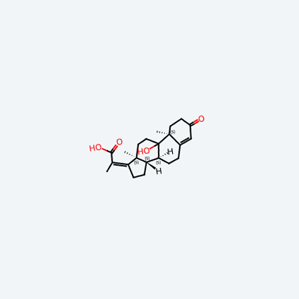 CC(C(=O)O)=C1CC[C@H]2[C@@H]3CCC4=CC(=O)CC[C@]4(C)C3(O)CC[C@]12C